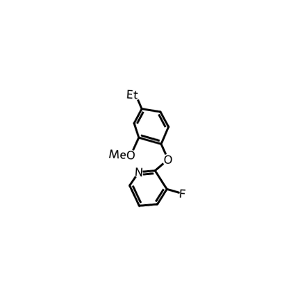 CCc1ccc(Oc2ncccc2F)c(OC)c1